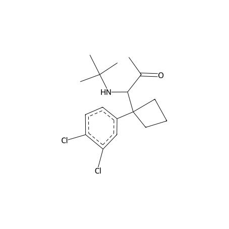 CC(=O)C(NC(C)(C)C)C1(c2ccc(Cl)c(Cl)c2)CCC1